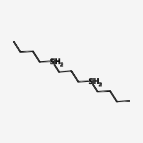 CCCC[SiH2]CCC[SiH2]CCCC